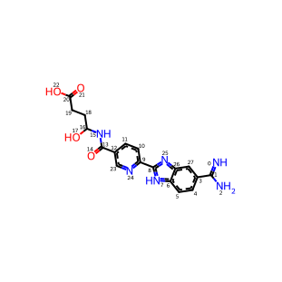 N=C(N)c1ccc2[nH]c(-c3ccc(C(=O)NC(O)CCC(=O)O)cn3)nc2c1